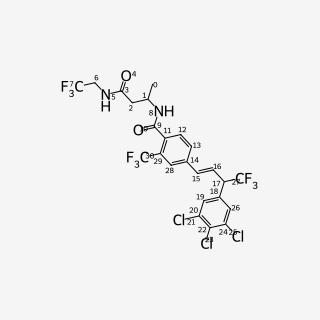 CC(CC(=O)NCC(F)(F)F)NC(=O)c1ccc(/C=C/C(c2cc(Cl)c(Cl)c(Cl)c2)C(F)(F)F)cc1C(F)(F)F